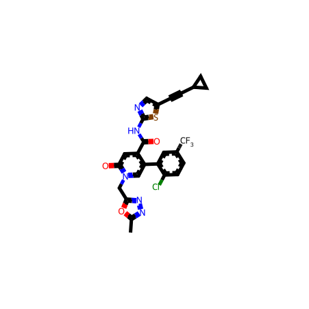 Cc1nnc(Cn2cc(-c3cc(C(F)(F)F)ccc3Cl)c(C(=O)Nc3ncc(C#CC4CC4)s3)cc2=O)o1